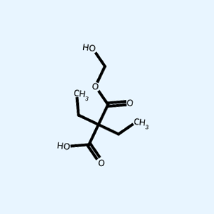 CCC(CC)(C(=O)O)C(=O)OCO